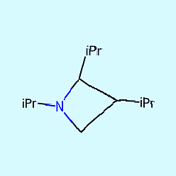 CC(C)C1CN(C(C)C)C1C(C)C